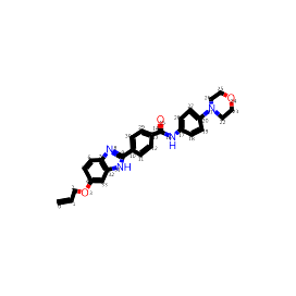 C=CCOc1ccc2nc(-c3ccc(C(=O)Nc4ccc(N5CCOCC5)cc4)cc3)[nH]c2c1